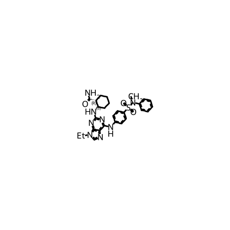 CCn1cnc2c(Nc3ccc(S(=O)(=O)N(C)c4ccccc4)cc3)nc(N[C@H]3CCCC[C@H]3C(N)=O)nc21